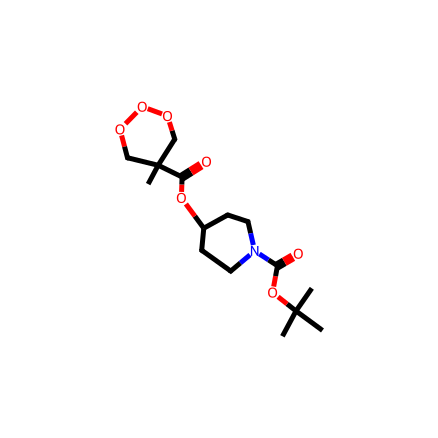 CC(C)(C)OC(=O)N1CCC(OC(=O)C2(C)COOOC2)CC1